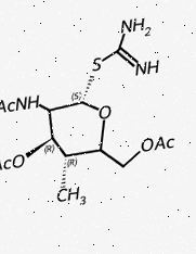 CC(=O)NC1[C@H](SC(=N)N)OC(COC(C)=O)[C@H](C)[C@H]1OC(C)=O